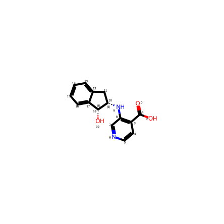 O=C(O)c1ccncc1N[C@H]1Cc2ccccc2[C@H]1O